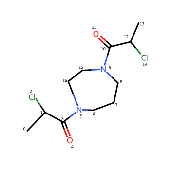 CC(Cl)C(=O)N1CCCN(C(=O)C(C)Cl)CC1